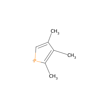 CC1=C[P]C(C)=C1C